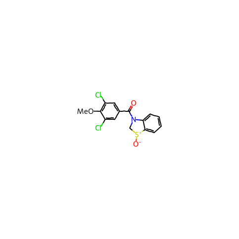 COc1c(Cl)cc(C(=O)N2C[S+]([O-])c3ccccc32)cc1Cl